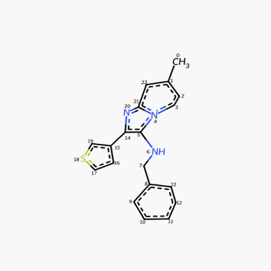 Cc1ccn2c(NCc3ccccc3)c(-c3ccsc3)nc2c1